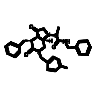 Cc1ccc(CN2C[C@H]3N(C(=O)CN3N(C)C(=O)NCc3ccccc3)[C@@H](Cc3ccccc3)C2=O)cc1